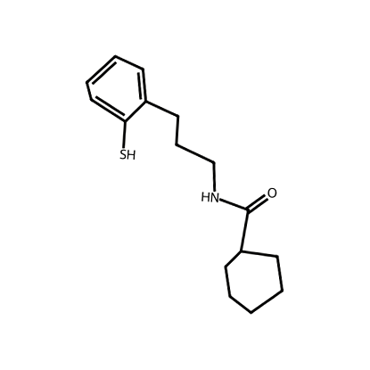 O=C(NCCCc1ccccc1S)C1CCCCC1